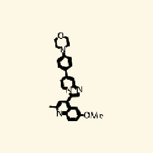 COc1ccc2nc(C)cc(-c3cnc4cc(-c5ccc(N6CCOCC6)cc5)ccn34)c2c1